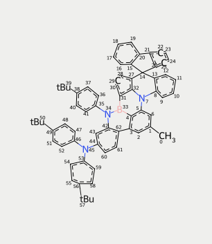 Cc1cc2c3c(c1)N1c4ccccc4C4(c5ccccc5-c5ccccc54)c4cccc(c41)B3N(c1ccc(C(C)(C)C)cc1)c1cc(N(c3ccc(C(C)(C)C)cc3)c3ccc(C(C)(C)C)cc3)ccc1-2